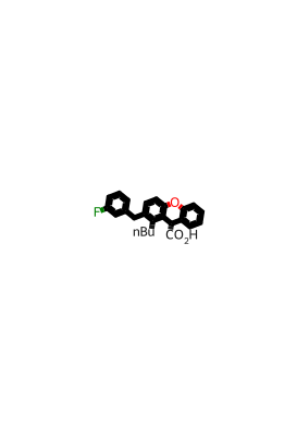 CCCCc1c(Cc2cccc(F)c2)ccc2c1C(C(=O)O)c1ccccc1O2